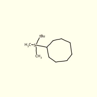 CC(C)(C)[Si](C)(C)C1CCCCCCC1